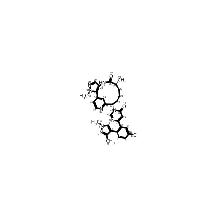 Cc1nn(C)cc1-c1ccc(Cl)cc1-c1cc(=O)n([C@H]2CCC[C@@H](C)C(=O)Nc3cnn(C)c3-c3ccnc2c3)cn1